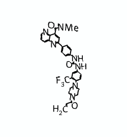 C=CC(=O)N1CCN(c2ccc(NC(=O)Nc3ccc(-c4cc(C(=O)NC)c5ncccc5n4)cc3)cc2C(F)(F)F)CC1